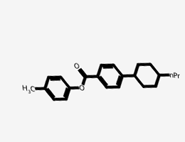 CCCC1CCC(c2ccc(C(=O)Oc3ccc(C)cc3)cc2)CC1